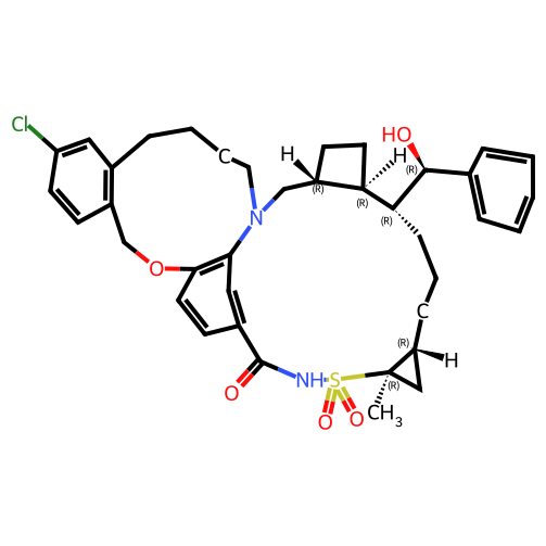 C[C@@]12C[C@H]1CCC[C@@H]([C@@H](O)c1ccccc1)[C@@H]1CC[C@H]1CN1CCCCc3cc(Cl)ccc3COc3ccc(cc31)C(=O)NS2(=O)=O